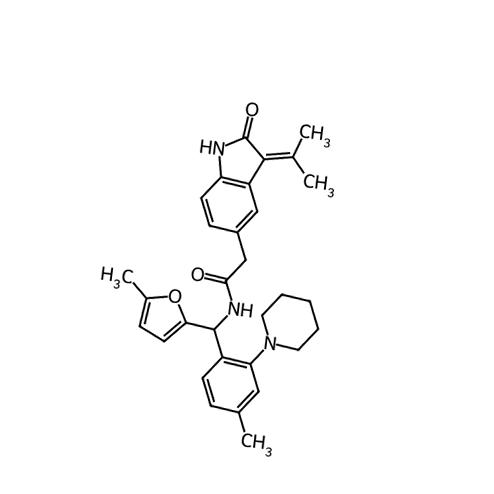 CC(C)=C1C(=O)Nc2ccc(CC(=O)NC(c3ccc(C)o3)c3ccc(C)cc3N3CCCCC3)cc21